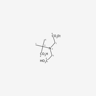 CCOC(=O)CN(CC(=O)O)C(C)(C)C(=O)O